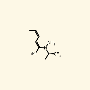 C/C=C\C=C(\C(C)C)N(N)[C@H](C)C(F)(F)F